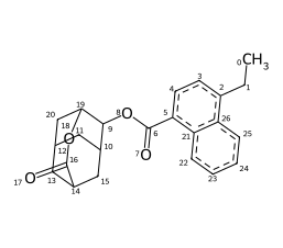 CCc1ccc(C(=O)OC2C3CC4CC(C3)C(=O)OC2C4)c2ccccc12